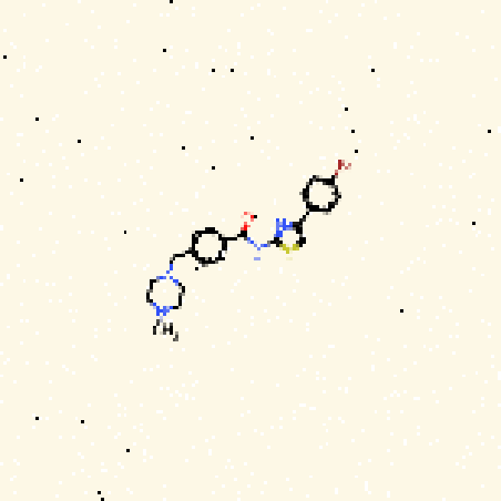 CN1CCN(Cc2ccc(C(=O)Nc3nc(-c4ccc(Br)cc4)cs3)cc2)CC1